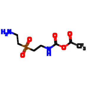 NCCS(=O)(=O)CCNC(=O)OC(=O)C(F)(F)F